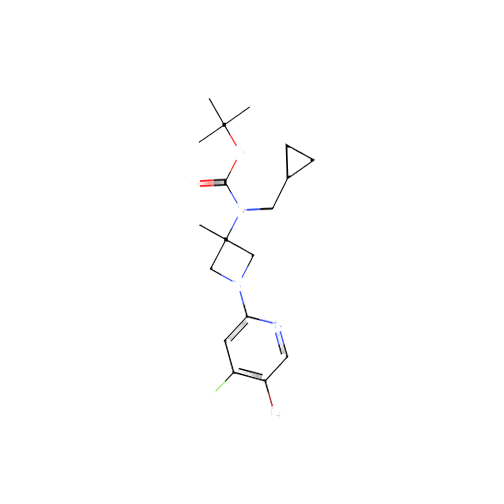 CC(C)(C)OC(=O)N(CC1CC1)C1(C)CN(c2cc(F)c(Br)cn2)C1